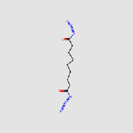 [N-]=[N+]=NC(=O)CCCCCCCC(=O)N=[N+]=[N-]